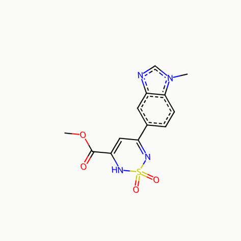 COC(=O)C1=CC(c2ccc3c(c2)ncn3C)=NS(=O)(=O)N1